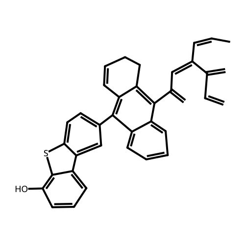 C=CC(=C)C(/C=C\C)=C\C(=C)c1c2c(c(-c3ccc4sc5c(O)cccc5c4c3)c3ccccc13)C=CCC2